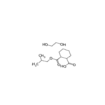 CC(C)COC(=O)C1CCCCC1C(=O)O.OCCO